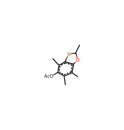 CC(=O)Oc1c(C)c(C)c2c(c1C)SC(C)O2